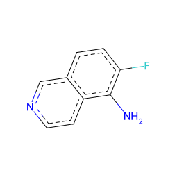 Nc1c(F)ccc2cnccc12